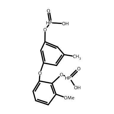 COc1cccc(Oc2cc(C)cc(O[PH](=O)O)c2)c1O[PH](=O)O